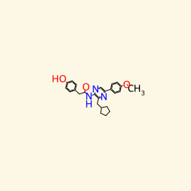 COc1ccc(-c2cnc(NC(=O)Cc3ccc(O)cc3)c(CC3CCCC3)n2)cc1